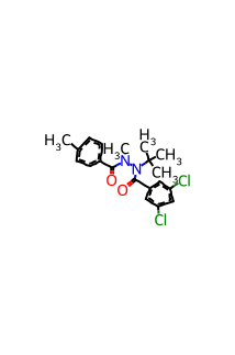 Cc1ccc(C(=O)N(C)N(C(=O)c2cc(Cl)cc(Cl)c2)C(C)(C)C)cc1